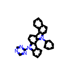 c1ccc(-n2c3ccc4ccccc4c3c3ccc4c(c5ccccc5n4-c4ncncn4)c32)cc1